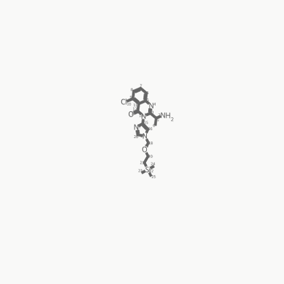 CC(N)c1nc2cccc(Cl)c2c(=O)n1-c1cn(COCC[Si](C)(C)C)cn1